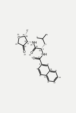 CC(C)C[C@H](NC(=O)c1ccc2ccccc2c1)C(=O)N[C@@H]1C(=O)CO[C@@H]1C